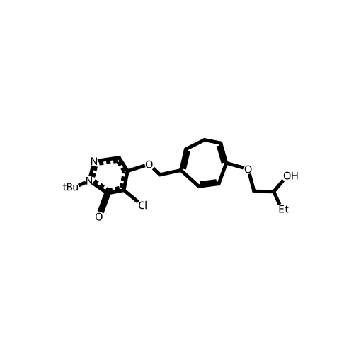 CCC(O)COC1=CCC=C(COc2cnn(C(C)(C)C)c(=O)c2Cl)C=C1